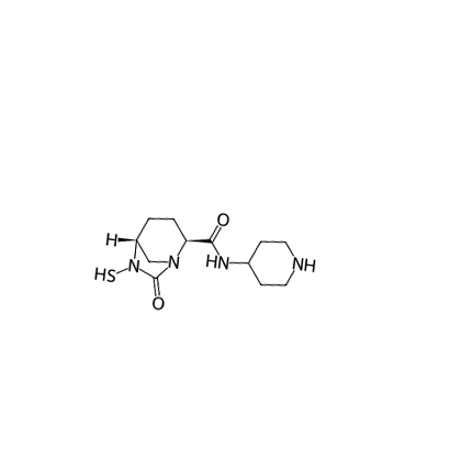 O=C(NC1CCNCC1)[C@@H]1CC[C@@H]2CN1C(=O)N2S